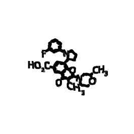 Cc1c(N2CCOC(C)C2)oc2c(C3CCCN3c3cccc(F)c3)cc(C(=O)O)cc2c1=O